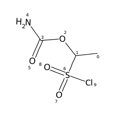 CC(OC(N)=O)S(=O)(=O)Cl